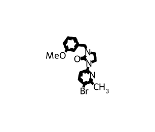 COc1cccc(CN2CCN(c3ccc(Br)c(C)n3)C2=O)c1